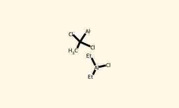 C[CH2][Al]([Cl])[CH2]C.C[C]([Al])(Cl)Cl